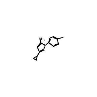 Cc1ccc(-n2nc(C3CC3)cc2N)cc1